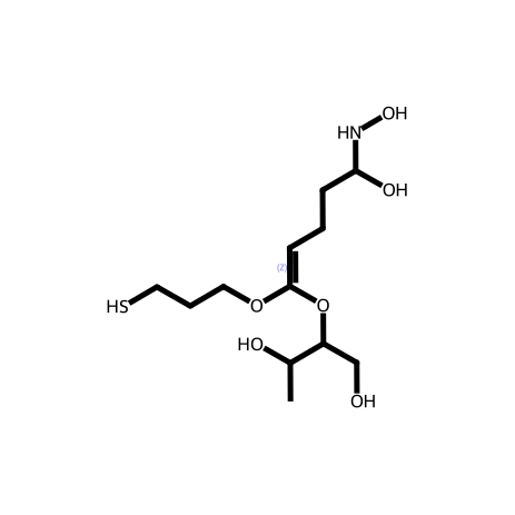 CC(O)C(CO)O/C(=C\CCC(O)NO)OCCCS